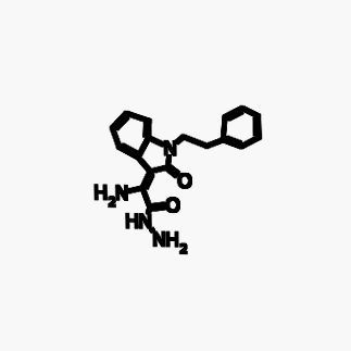 NNC(=O)C(N)=C1C(=O)N(CCc2ccccc2)c2ccccc21